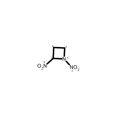 O=[N+]([O-])C1CCN1[N+](=O)[O-]